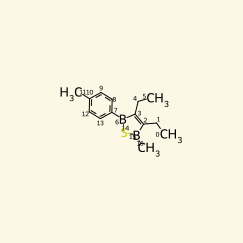 CCC1=C(CC)B(c2ccc(C)cc2)SB1C